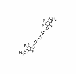 C=Cc1c(F)c(F)c(OCCOCCOCCOCCOc2c(F)c(F)c(C=C)c(F)c2F)c(F)c1F